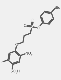 CCC(C)c1ccc(OS(=O)(=O)CCCOc2cc(F)c(S(=O)(=O)O)cc2[N+](=O)[O-])cc1